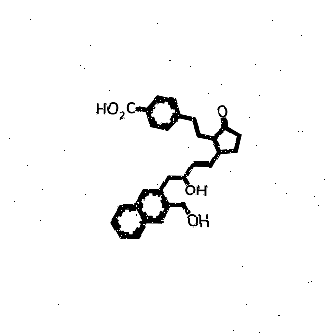 O=C(O)c1ccc(CCC2C(=O)CCC2/C=C/C(O)Cc2cc3ccccc3cc2CO)cc1